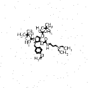 CCN(CC)CCCNC(=O)O[C@@H]1[C@@H](OC(=O)OC(C)(C)C)CN(C(=O)OC(C)(C)C)[C@@H]1Cc1ccc(OC)cc1